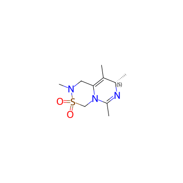 CC1=N[C@@H](C)C(C)=C2CN(C)S(=O)(=O)CN12